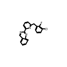 Fc1c(Cl)cccc1Cc1cccc(-c2ncc3ccccc3n2)n1